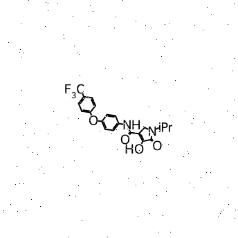 CC(C)N1CC(C(=O)Nc2ccc(Oc3ccc(C(F)(F)F)cc3)cc2)=C(O)C1=O